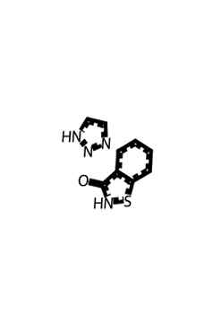 O=c1[nH]sc2ccccc12.c1c[nH]nn1